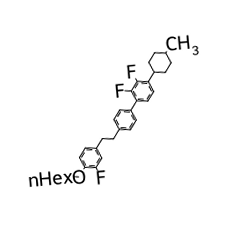 CCCCCCOc1ccc(CCc2ccc(-c3ccc(C4CCC(C)CC4)c(F)c3F)cc2)cc1F